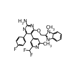 Cc1cc(-c2c(OCc3nc4ccccc4n3C)nc(N)nc2-c2ccc(F)cc2)cc(C(F)F)n1